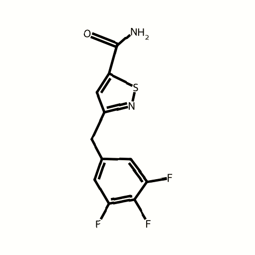 NC(=O)c1cc(Cc2cc(F)c(F)c(F)c2)ns1